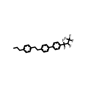 CCCc1ccc(CCc2ccc(-c3ccc(C(F)(F)C(F)C(F)(F)F)cc3)cc2)cc1